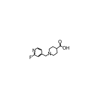 O=C(O)C1CCN(Cc2ccnc(F)c2)CC1